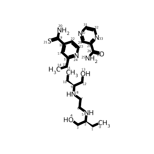 CC[C@@H](CO)NCCN[C@@H](CC)CO.CCc1cc(C(N)=S)ccn1.NC(=O)c1cnccn1